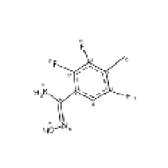 Cc1c(F)cc(C(N)=NO)c(F)c1F